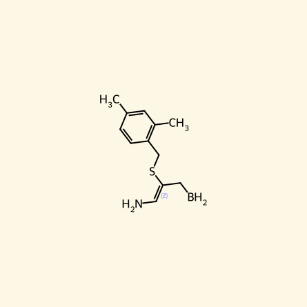 BC/C(=C/N)SCc1ccc(C)cc1C